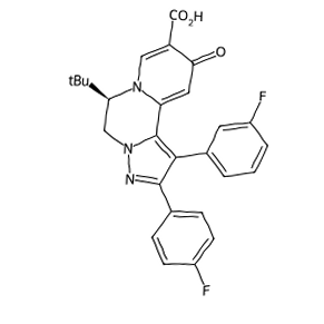 CC(C)(C)[C@@H]1Cn2nc(-c3ccc(F)cc3)c(-c3cccc(F)c3)c2-c2cc(=O)c(C(=O)O)cn21